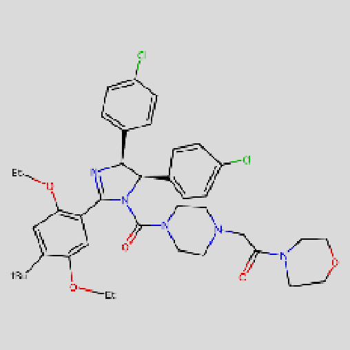 CCOc1cc(C(C)(C)C)c(OCC)cc1C1=N[C@@H](c2ccc(Cl)cc2)[C@@H](c2ccc(Cl)cc2)N1C(=O)N1CCN(CC(=O)N2CCOCC2)CC1